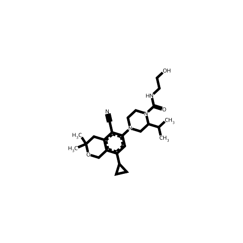 CC(C)C1CN(c2cc(C3CC3)c3c(c2C#N)CC(C)(C)OC3)CCN1C(=O)NCCO